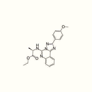 CCOC(=O)[C@@H](C)Nc1nc2ccccc2c2nc(-c3ccc(OC)cc3)nn12